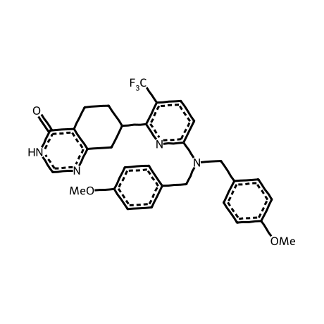 COc1ccc(CN(Cc2ccc(OC)cc2)c2ccc(C(F)(F)F)c(C3CCc4c(nc[nH]c4=O)C3)n2)cc1